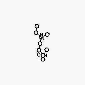 c1ccc(-c2cccc(-c3cc(-c4ccc(-c5ccc6oc7c8ccccc8nc(-c8ccccc8)c7c6c5)cc4)nc(-c4ccccc4)n3)c2)cc1